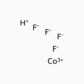 [Co+3].[F-].[F-].[F-].[F-].[H+]